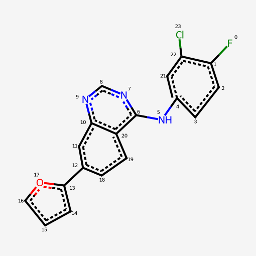 Fc1ccc(Nc2ncnc3cc(-c4ccco4)ccc23)cc1Cl